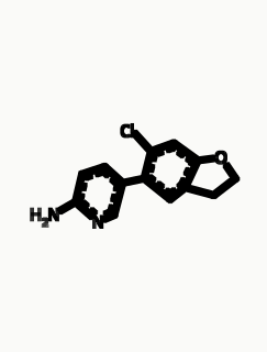 Nc1ccc(-c2cc3c(cc2Cl)OCC3)cn1